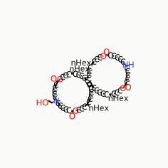 CCCCCCC1CCCCCC23CCCCCC(CCCCCC)CCCOC(=O)CCCCCN(CCO)CCCCCC(=O)OCCCC(CCCCCC)CCCCCC2(CCCCC(CCCCCC)CCCOC(=O)CCCCCNCCCCCC(=O)OCCC1)CC3